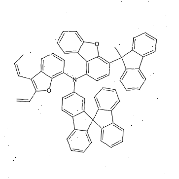 C=Cc1oc2c(N(c3ccc4c(c3)C3(c5ccccc5-c5ccccc53)c3ccccc3-4)c3ccc(C4(C)c5ccccc5-c5ccccc54)c4oc5ccccc5c34)cccc2c1/C=C\C